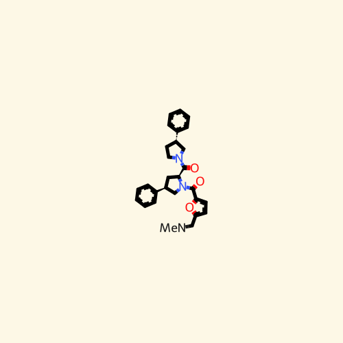 CNCc1ccc(C(=O)N2C[C@@H](c3ccccc3)C[C@H]2C(=O)N2CC[C@H](c3ccccc3)C2)o1